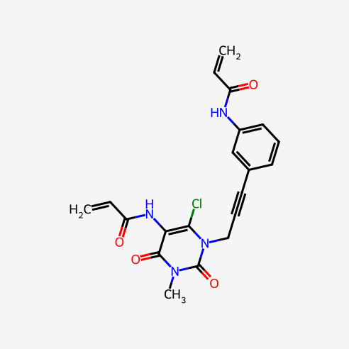 C=CC(=O)Nc1cccc(C#CCn2c(Cl)c(NC(=O)C=C)c(=O)n(C)c2=O)c1